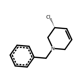 Cl[C@@H]1C=CCN(Cc2ccccc2)C1